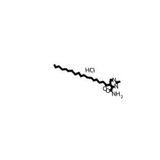 CCCCCCCCCCCCCCCCCC(=O)c1cnc(C)nc1C(N)=O.Cl